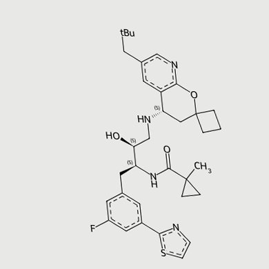 CC(C)(C)Cc1cnc2c(c1)[C@@H](NC[C@H](O)[C@H](Cc1cc(F)cc(-c3nccs3)c1)NC(=O)C1(C)CC1)CC1(CCC1)O2